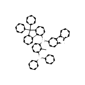 Cc1c(N(c2ccccc2)c2ccccc2)cccc1N(c1ccc2oc3ccccc3c2c1)c1cccc2c1-c1ccccc1C2(c1ccccc1)c1ccccc1